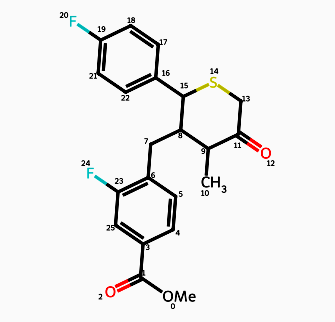 COC(=O)c1ccc(CC2C(C)C(=O)CSC2c2ccc(F)cc2)c(F)c1